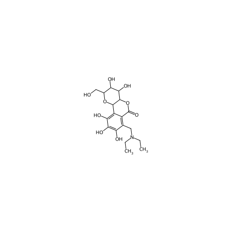 CCN(CC)Cc1c(O)c(O)c(O)c2c1C(=O)OC1C2OC(CO)C(O)C1O